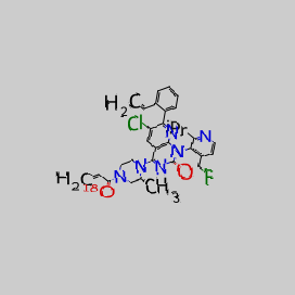 C=CC(=[18O])N1CCN(c2nc(=O)n(-c3c(CF)ccnc3C(C)C)c3nc(-c4ccccc4C=C)c(Cl)cc23)[C@@H](C)C1